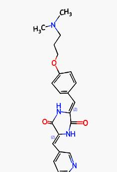 CN(C)CCCOc1ccc(/C=c2\[nH]c(=O)/c(=C/c3cccnc3)[nH]c2=O)cc1